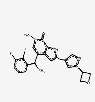 CC(c1cccc(F)c1F)c1cn(C)c(=O)c2[nH]c(-c3cnn(C4COC4)c3)cc12